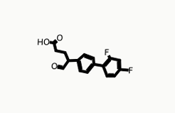 O=CC(CCC(=O)O)c1ccc(-c2ccc(F)cc2F)cc1